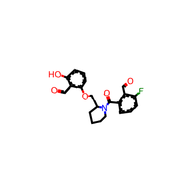 O=Cc1c(O)cccc1OCC1CCCCN1C(=O)c1cccc(F)c1C=O